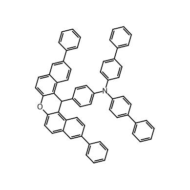 c1ccc(-c2ccc(N(c3ccc(-c4ccccc4)cc3)c3ccc(C4c5c(ccc6cc(-c7ccccc7)ccc56)Oc5ccc6cc(-c7ccccc7)ccc6c54)cc3)cc2)cc1